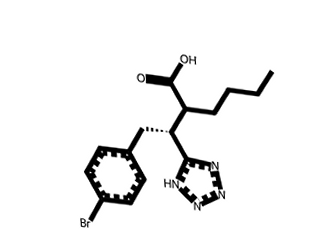 CCCCC(C(=O)O)[C@@H](Cc1ccc(Br)cc1)c1nnn[nH]1